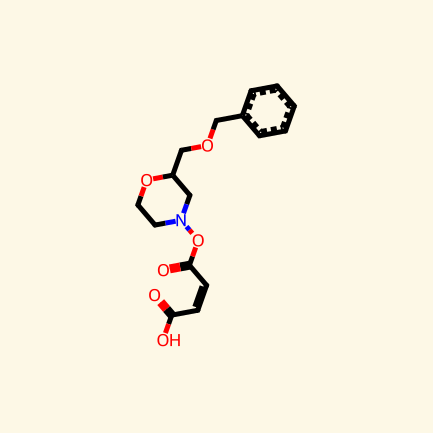 O=C(O)/C=C\C(=O)ON1CCOC(COCc2ccccc2)C1